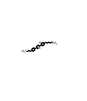 CCCCCCc1ccc(-c2ccc(-c3ccc(CCCC)cc3)cn2)c(F)c1